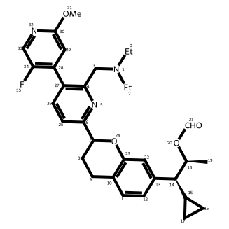 CCN(CC)Cc1nc(C2CCc3ccc([C@H](C4CC4)[C@H](C)OC=O)cc3O2)ccc1-c1cc(OC)ncc1F